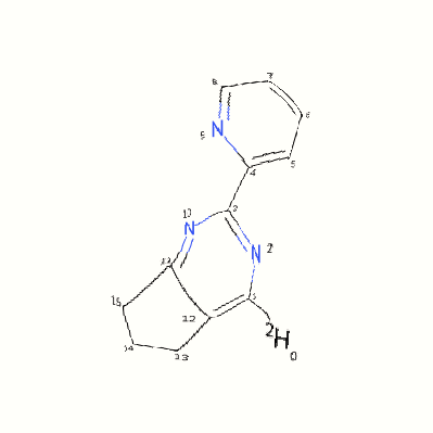 [2H]c1nc(-c2ccccn2)nc2c1CCC2